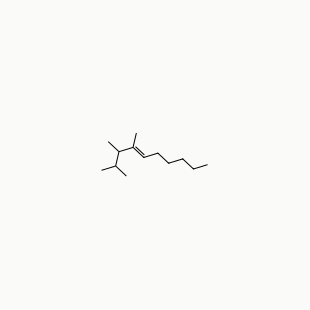 CCCCC/C=C(\C)C(C)C(C)C